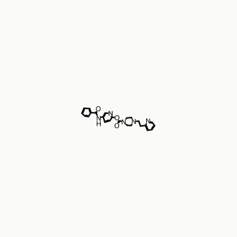 O=C(Nc1ccc(OC(=O)N2CCN(CCc3ccccn3)CC2)nc1)c1ccccc1